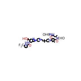 Cc1cc(N2CCC(C(C)(C)CCN3CCC(n4cc5cc(NC(=O)c6cccc(C(F)(F)F)n6)c(C(C)(C)O)cc5n4)CC3)CC2)ccc1C(=O)N(C=O)C(C)CCC(=O)NC=O